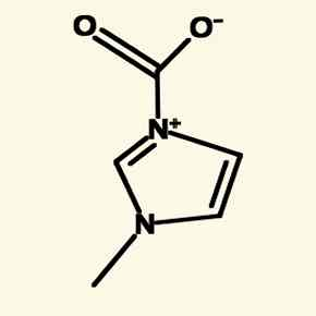 Cn1cc[n+](C(=O)[O-])c1